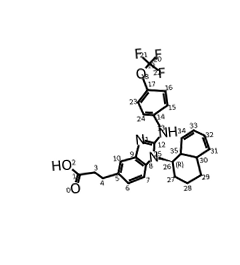 O=C(O)CCc1ccc2c(c1)nc(Nc1ccc(OC(F)(F)F)cc1)n2[C@@H]1CCCC2C=CC=CC21